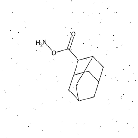 NOC(=O)C1C2CC3CC(C2)CC1C3